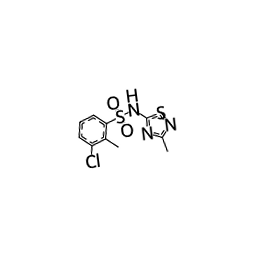 Cc1nsc(NS(=O)(=O)c2cccc(Cl)c2C)n1